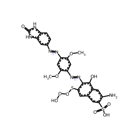 COc1cc(/N=N/c2c(SOOO)cc3cc(S(=O)(=O)O)c(N)cc3c2O)c(OC)cc1/N=N/c1ccc2[nH]c(=O)[nH]c2c1